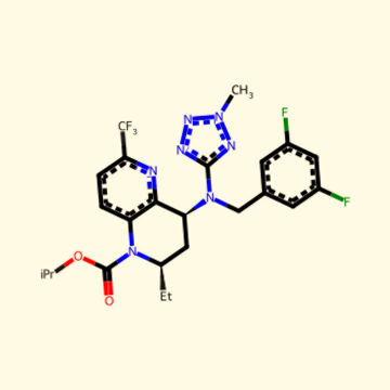 CC[C@@H]1C[C@H](N(Cc2cc(F)cc(F)c2)c2nnn(C)n2)c2nc(C(F)(F)F)ccc2N1C(=O)OC(C)C